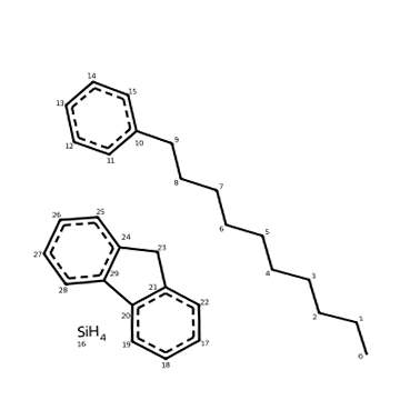 CCCCCCCCCCc1ccccc1.[SiH4].c1ccc2c(c1)Cc1ccccc1-2